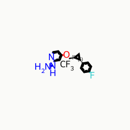 NNc1nccc(OC[C@H]2C[C@@H]2c2ccc(F)cc2)c1C(F)(F)F